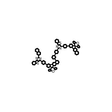 c1cc(-c2ccc(-c3nc(-c4ccc(-c5ccc6c(c5)-c5cc7ccccc7cc5C65c6ccccc6Oc6ccccc65)cc4)c4sc5ccccc5c4n3)cc2)cc(-c2cccc3cc4c(cc23)-c2cc(-c3ccc(-c5nc(-c6ccc7ccccc7c6)nc6c5sc5ccccc56)cc3)ccc2C42c3ccccc3Oc3ccccc32)c1